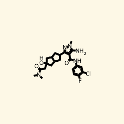 CN(C)C(=O)CC1(O)CC2CC(c3nn(C)c(N)c3C(=O)Nc3ccc(F)c(Cl)c3)CC2C1